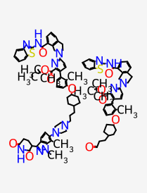 Cc1c(OC2CCC(CCC=O)CC2)cccc1-c1ccc(N2CCc3cccc(C(=O)Nc4nc5ccccc5s4)c3C2)nc1C(=O)OC(C)(C)C.Cc1c(OC2CCC(CCCN3CCN(c4ccc5c(C6CCC(=O)NC6=O)nn(C)c5c4C)CC3)CC2)cccc1-c1ccc(N2CCc3cccc(C(=O)Nc4nc5ccccc5s4)c3C2)nc1C(=O)OC(C)(C)C